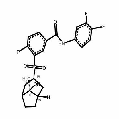 C[C@@]1(O)C2CC[C@H]1C[C@H](S(=O)(=O)c1cc(C(=O)Nc3ccc(F)c(F)c3)ccc1F)C2